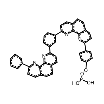 OP(O)OOc1ccc(-c2ccc3ccc4ccc(-c5cccc(-c6ccc7ccc8ccc(-c9ccccc9)nc8c7n6)c5)nc4c3n2)cc1